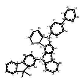 CC1(C)c2ccccc2-c2ccc(-n3c4ccccc4c4cc5n(c43)C3CC=CC=C3N5c3ccc(-c4ccccc4)cc3)cc21